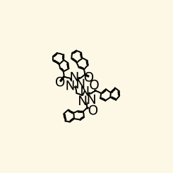 O=C(c1ccc2ccccc2c1)c1nc(Cc2nc(C(=O)c3ccc4ccccc4c3)nc(C(=O)c3ccc4ccccc4c3)n2)nc(C(=O)c2ccc3ccccc3c2)n1